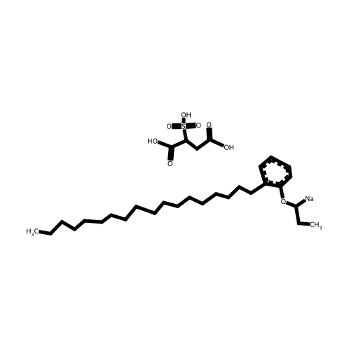 CCCCCCCCCCCCCCCCCCc1ccccc1O[CH]([Na])CC.O=C(O)CC(C(=O)O)S(=O)(=O)O